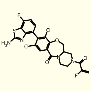 C=C(F)C(=O)N1CCN2C(=O)c3cc(Cl)c(-c4ccc(F)c5sc(N)nc45)c(Cl)c3OCC2C1